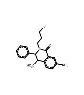 O=C(O)C1c2ccc([N+](=O)[O-])cc2C(=O)N(CCCBr)C1c1ccccc1